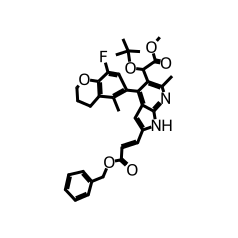 COC(=O)C(OC(C)(C)C)c1c(C)nc2[nH]c(C=CC(=O)OCc3ccccc3)cc2c1-c1cc(F)c2c(c1C)CCCO2